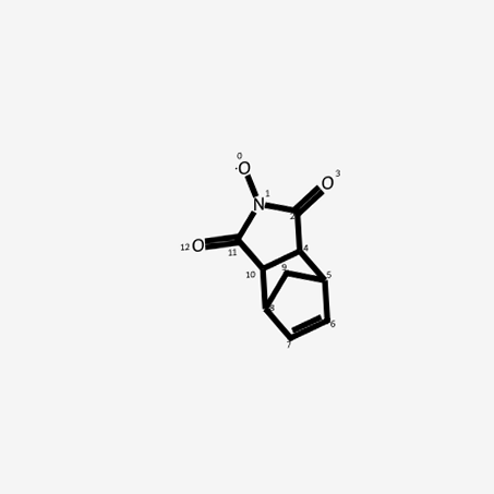 [O]N1C(=O)C2C3C=CC(C3)C2C1=O